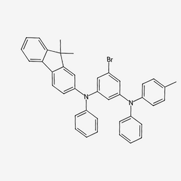 Cc1ccc(N(c2ccccc2)c2cc(Br)cc(N(c3ccccc3)c3ccc4c(c3)C(C)(C)c3ccccc3-4)c2)cc1